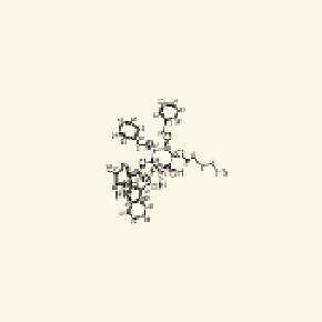 CCCCCCOC1C(OCc2ccccc2)C(OCc2ccccc2)C(OC(=O)c2nc(C)c[nH]2)C(O)(CCc2c[nH]c3ccccc23)C1O